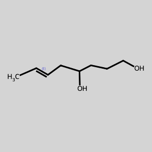 C/C=C/CC(O)CCCO